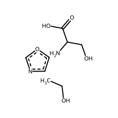 CCO.NC(CO)C(=O)O.c1cocn1